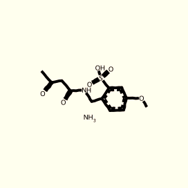 COc1ccc(CNC(=O)CC(C)=O)c(S(=O)(=O)O)c1.N